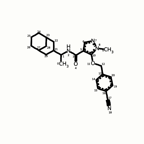 CC(NC(=O)c1cnn(C)c1OCc1ccc(C#N)cc1)C1CC2CCCC(C2)C1